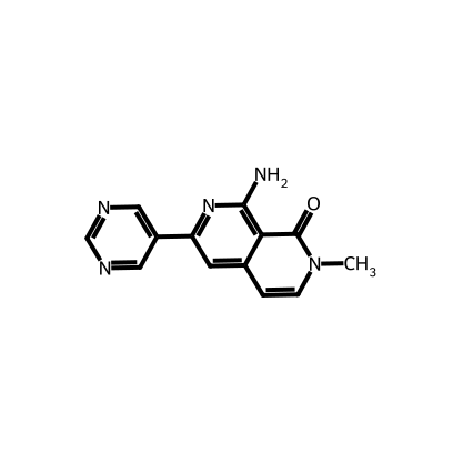 Cn1ccc2cc(-c3cncnc3)nc(N)c2c1=O